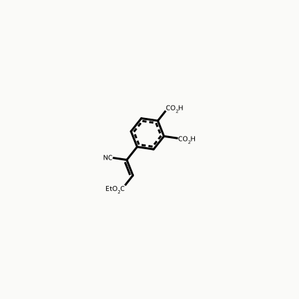 CCOC(=O)C=C(C#N)c1ccc(C(=O)O)c(C(=O)O)c1